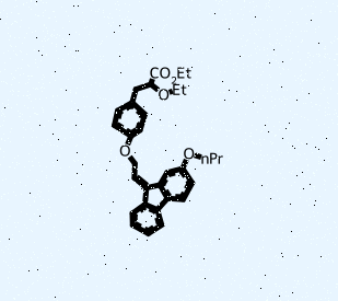 CCCOc1ccc2c(c1)C(=CCOc1ccc(CC(OCC)C(=O)OCC)cc1)c1ccccc1-2